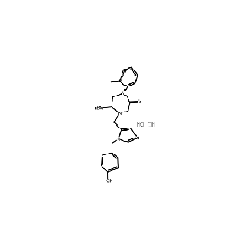 CCCCC1CN(c2ccccc2C)C(=O)CN1Cc1cncn1Cc1ccc(C#N)cc1.Cl.Cl